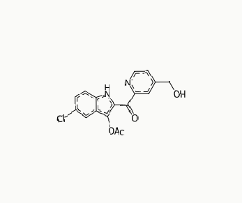 CC(=O)Oc1c(C(=O)c2cc(CO)ccn2)[nH]c2ccc(Cl)cc12